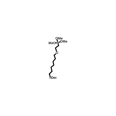 CCCCCCCCCCCCCCCCCOCC[Si](OC)(OC)OC